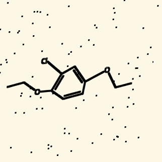 CCOc1ccc(OCC)c(Cl)c1